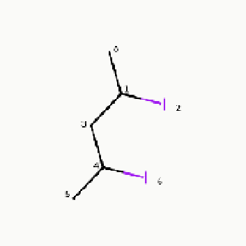 CC(I)CC(C)I